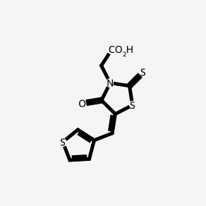 O=C(O)CN1C(=O)/C(=C\c2ccsc2)SC1=S